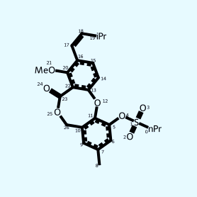 CCCS(=O)(=O)Oc1cc(C)cc2c1Oc1ccc(/C=C\C(C)C)c(OC)c1C(=O)OC2